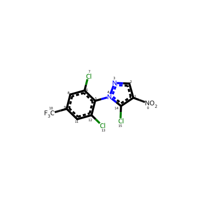 O=[N+]([O-])c1cnn(-c2c(Cl)cc(C(F)(F)F)cc2Cl)c1Cl